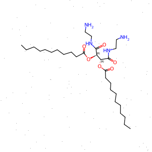 CCCCCCCCCCC(=O)O[C@@H](C(=O)NCCN)[C@@H](OC(=O)CCCCCCCCCC)C(=O)NCCN